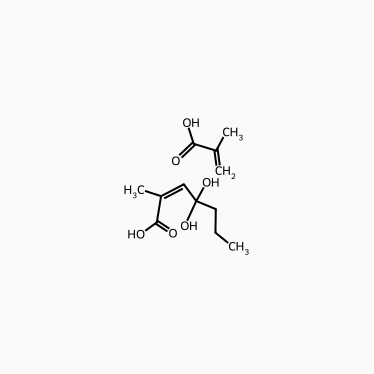 C=C(C)C(=O)O.CCCC(O)(O)C=C(C)C(=O)O